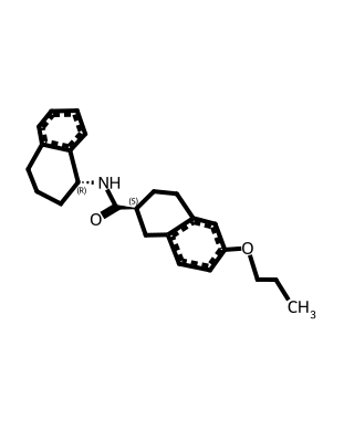 CCCOc1ccc2c(c1)CC[C@H](C(=O)N[C@@H]1CCCc3ccccc31)C2